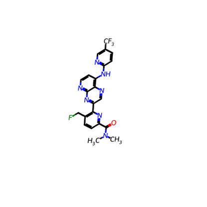 CN(C)C(=O)c1ccc(CF)c(-c2cnc3c(Nc4ccc(C(F)(F)F)cn4)ccnc3n2)n1